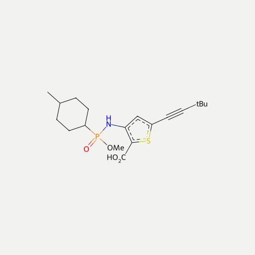 COP(=O)(Nc1cc(C#CC(C)(C)C)sc1C(=O)O)C1CCC(C)CC1